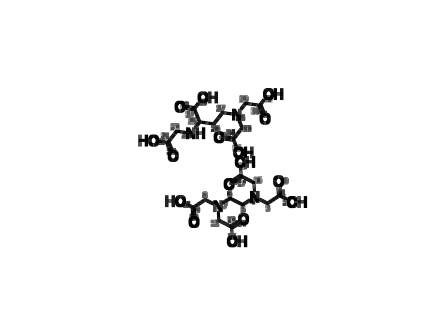 O=C(O)CN(CCN(CC(=O)O)CC(=O)O)CC(=O)O.O=C(O)CNC(CCN(CC(=O)O)CC(=O)O)C(=O)O